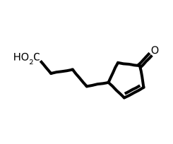 O=C(O)CCCC1C=CC(=O)C1